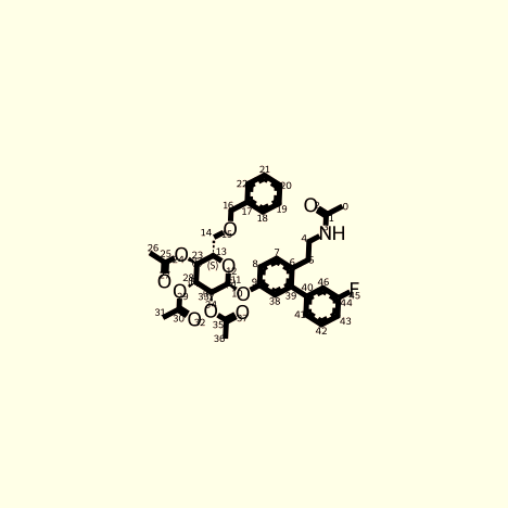 CC(=O)NCCc1ccc(O[C@@H]2O[C@@H](COCc3ccccc3)[C@H](OC(C)=O)[C@@H](OC(C)=O)[C@H]2OC(C)=O)cc1-c1cccc(F)c1